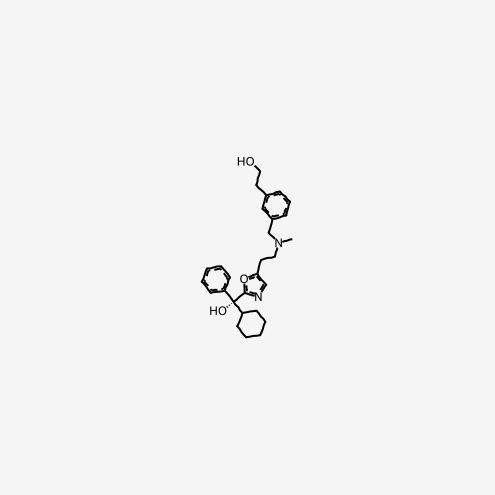 CN(CCc1cnc([C@](O)(c2ccccc2)C2CCCCC2)o1)Cc1cccc(CCO)c1